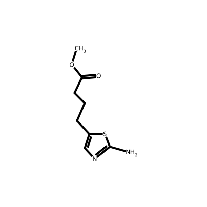 COC(=O)CCCc1cnc(N)s1